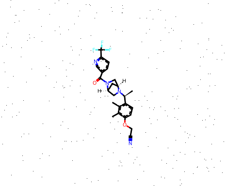 Cc1c(OCC#N)ccc([C@H](C)N2C[C@@H]3C[C@H]2CN3C(=O)c2ccc(C(F)(F)F)nc2)c1C